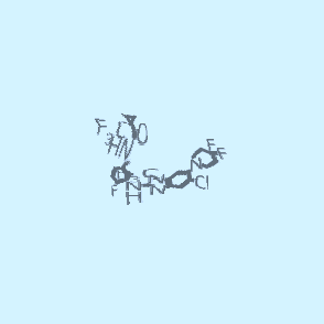 Cn1c(Nc2cc(CNC(=O)C3(C(F)(F)F)CC3)ccc2F)nc2cc(Cl)c(N3CCC(F)(F)CC3)cc21